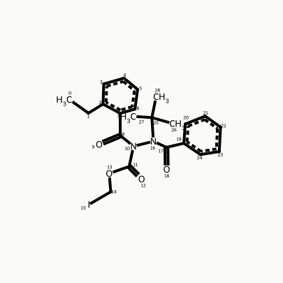 CCc1ccccc1C(=O)N(C(=O)OCI)N(C(=O)c1ccccc1)C(C)(C)C